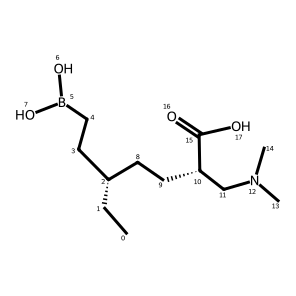 CC[C@H](CCB(O)O)CC[C@@H](CN(C)C)C(=O)O